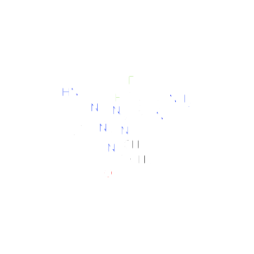 CC1(C)COCCN1c1nc(-c2cnc(N)cc2C(F)F)nc(N2CCNCC2C2CC2)n1